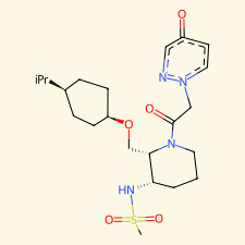 CC(C)[C@H]1CC[C@@H](OC[C@H]2[C@@H](NS(C)(=O)=O)CCCN2C(=O)Cn2ccc(=O)cn2)CC1